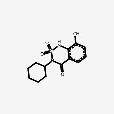 Cc1cccc2c1NS(=O)(=O)N(C1CCCCC1)C2=O